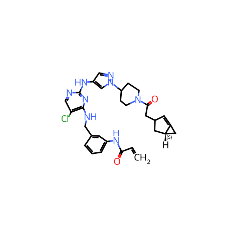 C=CC(=O)Nc1cccc(CNc2nc(Nc3cnn(C4CCN(C(=O)CC5C=C6C[C@@H]6C5)CC4)c3)ncc2Cl)c1